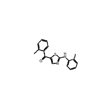 Cc1ccccc1Nc1ncc(C(=O)c2ccccc2C)s1